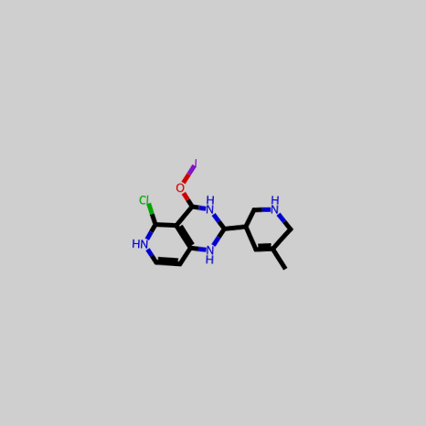 CC1=CC(C2NC3=C(C(Cl)NC=C3)C(OI)N2)CNC1